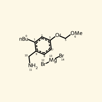 CCCCc1cc(OCOC)[c]cc1CN.[Br][Mg][Br]